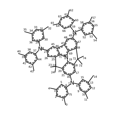 Cc1cc(C)cc(N(c2cc(C)cc(C)c2)c2cc3c4c(c2)C(C)(C)c2cc(N(c5cc(C)cc(C)c5)c5cc(C)cc(C)c5)cc5c6cc(N(c7cc(C)cc(C)c7)c7cc(C)cc(C)c7)cc(c6n-4c25)C3(C)C)c1